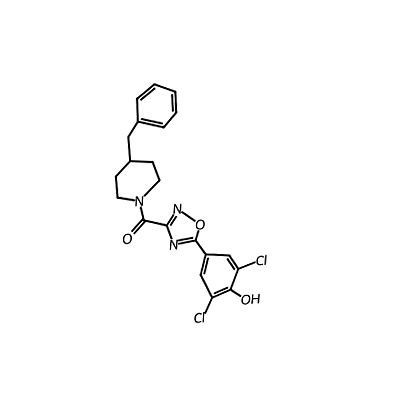 O=C(c1noc(-c2cc(Cl)c(O)c(Cl)c2)n1)N1CCC(Cc2ccccc2)CC1